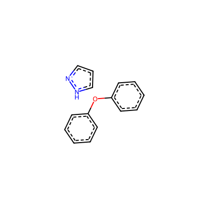 c1ccc(Oc2ccccc2)cc1.c1cn[nH]c1